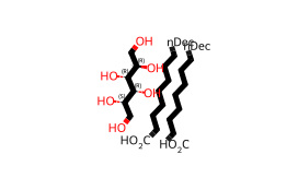 CCCCCCCCCCCCCCCCCC(=O)O.CCCCCCCCCCCCCCCCCC(=O)O.OC[C@@H](O)[C@@H](O)[C@H](O)[C@@H](O)CO